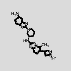 Cc1c(-c2cnn(C(C)C)c2)ccc2nc(N[C@@H]3CCCN(c4nc5cc(N)ccc5s4)C3)nn12